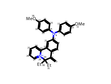 C=C1c2ccc(N(c3ccc(OC)cc3)c3ccc(OC)cc3)cc2-c2cccc[n+]2C1(CC)CC